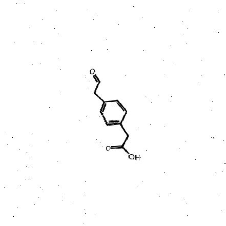 O=CCc1ccc(CC(=O)O)cc1